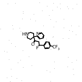 O=C(CC(F)c1ccc(C(F)(F)F)cc1)C1(c2ccccn2)CCNCC1